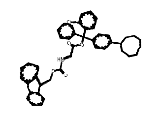 O=C(CNC(=O)OCC1c2ccccc2-c2ccccc21)OC(c1ccccc1)(c1ccc(C2CCCCCCC2)cc1)c1ccccc1Cl